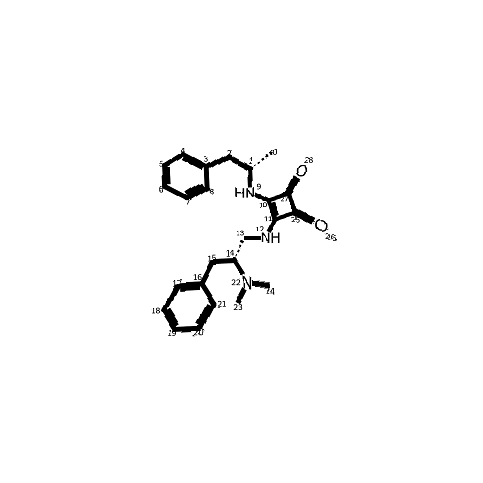 C[C@@H](Cc1ccccc1)Nc1c(NC[C@@H](Cc2ccccc2)N(C)C)c(=O)c1=O